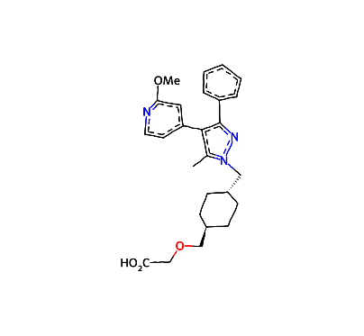 COc1cc(-c2c(-c3ccccc3)nn(C[C@H]3CC[C@H](COCC(=O)O)CC3)c2C)ccn1